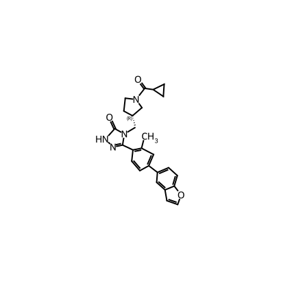 Cc1cc(-c2ccc3occc3c2)ccc1-c1n[nH]c(=O)n1C[C@@H]1CCN(C(=O)C2CC2)C1